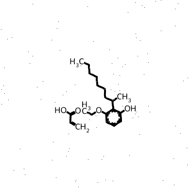 C=CC(=O)O.CCCCCCCC(C)c1c(O)cccc1OCC